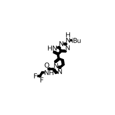 CCC(C)Nc1ncc2c(-c3ccc4ncc(C(=O)NCC(F)F)n4c3)c[nH]c2n1